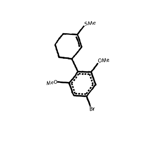 COc1cc(Br)cc(OC)c1C1C=C(SC)CCC1